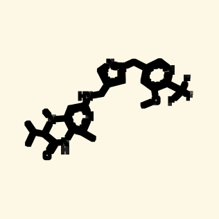 COc1cc(Cn2cc(CNc3cc4c(c(C)n3)NC(=O)C(C(C)C)N4C)cn2)cnc1C(F)(F)F